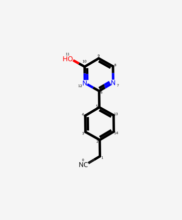 N#CCc1ccc(-c2nccc(O)n2)cc1